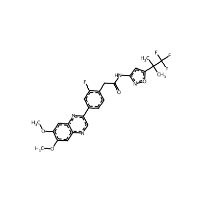 COc1cc2ncc(-c3ccc(CC(=O)Nc4cc(C(C)(C)C(F)(F)F)on4)c(F)c3)nc2cc1OC